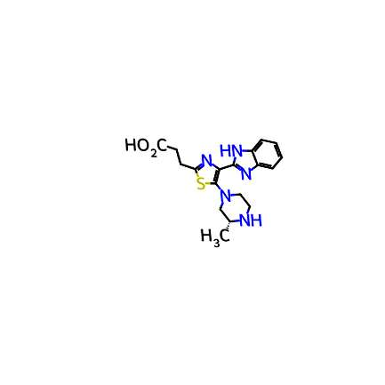 C[C@@H]1CN(c2sc(CCC(=O)O)nc2-c2nc3ccccc3[nH]2)CCN1